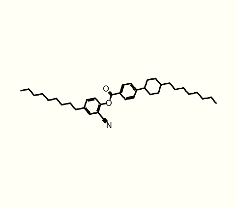 CCCCCCCCCc1ccc(OC(=O)c2ccc(C3CCC(CCCCCCCC)CC3)cc2)c(C#N)c1